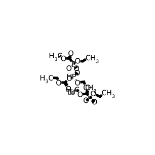 CCOC(=O)O[PH](=O)OCC.CCOP(=O)([O-])C(=O)OC.CCOP(=O)([O-])C(=O)OC.[Li+].[Li+]